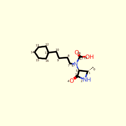 C[C@@H]1NC(=O)[C@H]1N(CCCCC1CCCCC1)C(=O)O